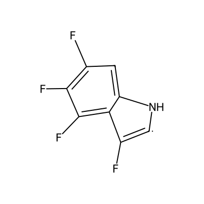 Fc1cc2[nH][c]c(F)c2c(F)c1F